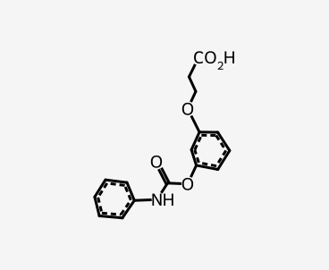 O=C(O)CCOc1cccc(OC(=O)Nc2ccccc2)c1